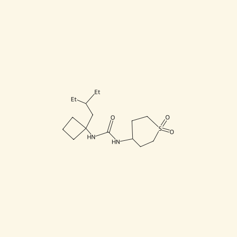 CCC(CC)CC1(NC(=O)NC2CCS(=O)(=O)CC2)CCC1